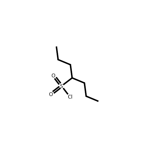 CCCC(CCC)S(=O)(=O)Cl